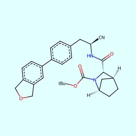 CC(C)(C)OC(=O)N1[C@@H]2CC[C@@H](C2)[C@H]1C(=O)N[C@H](C#N)Cc1ccc(-c2ccc3c(c2)COC3)cc1